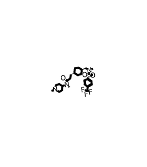 CN1CCC(N(C)C(=O)CC[C@H]2CC[C@H](CN(C)S(=O)(=O)c3ccc(C(F)(F)F)cc3)CC2)CC1